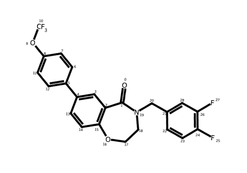 O=C1c2cc(-c3ccc(OC(F)(F)F)cc3)ccc2OCCN1Cc1ccc(F)c(F)c1